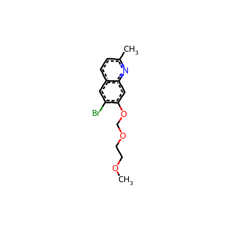 COCCOCOc1cc2nc(C)ccc2cc1Br